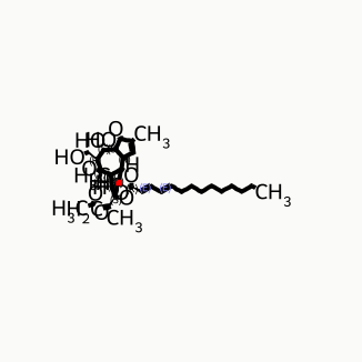 C=C(C)[C@@]12O[C@]3(/C=C/C=C/CCCCCCCCC)O[C@@H]1[C@@H]1[C@@H]4O[C@]4(CO)[C@@H](O)[C@]4(O)C(=O)C(C)=C[C@H]4C1(O3)[C@H](C)[C@H]2OC(C)=O